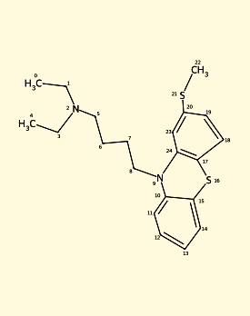 CCN(CC)CCCCN1c2ccccc2Sc2ccc(SC)cc21